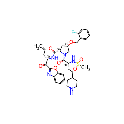 C=CC[C@H](NC(=O)[C@@H]1C[C@@H](OCc2ccccc2F)CN1C(=O)[C@@H](CCC1CCNCC1)NS(C)(=O)=O)C(=O)c1nc2ccccc2o1